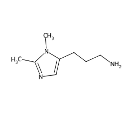 Cc1ncc(CCCN)n1C